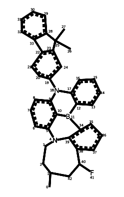 CC1CCN2c3cccc4c3B(c3ccccc3N4c3ccc4c(c3)C(C)(C)c3ccccc3-4)c3cccc(c32)C(F)C1